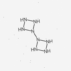 N1NN(N2NNN2)N1